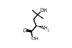 CC(C)(O)C[C@@H](N)C(=O)O